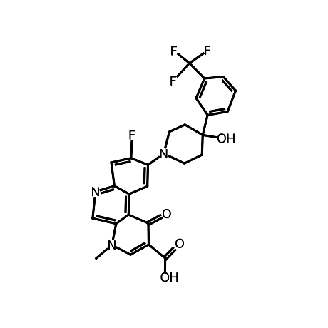 Cn1cc(C(=O)O)c(=O)c2c3cc(N4CCC(O)(c5cccc(C(F)(F)F)c5)CC4)c(F)cc3ncc21